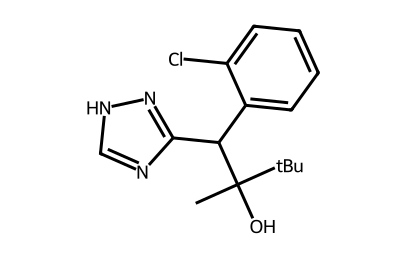 CC(C)(C)C(C)(O)C(c1nc[nH]n1)c1ccccc1Cl